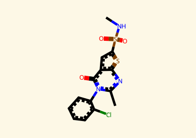 CNS(=O)(=O)c1cc2c(=O)n(-c3ccccc3Cl)c(C)nc2s1